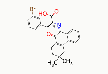 CC1(C)CCC2=C(C1)c1ccccc1C(=N[C@@H](Cc1cccc(Br)c1)C(=O)O)C2=O